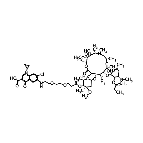 CCC(=O)O[C@H]1[C@H](O[C@@H]2[C@@H](C)[C@H](O[C@H]3C[C@@](C)(OC)[C@@H](OC(=O)CCOCCOCCNc4cc5c(=O)c(C(=O)O)cn(C6CC6)c5cc4Cl)[C@H](C)O3)[C@@H](C)C(=O)O[C@H](CC)[C@@](C)(O)[C@H](O)[C@@H](C)N(C)C[C@H](C)C[C@@]2(C)O)O[C@H](C)C[C@@H]1N(C)C